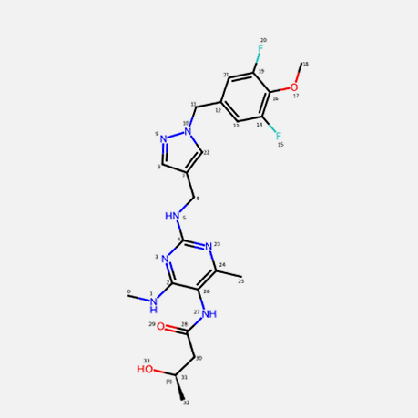 CNc1nc(NCc2cnn(Cc3cc(F)c(OC)c(F)c3)c2)nc(C)c1NC(=O)C[C@@H](C)O